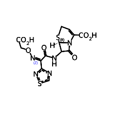 O=C(O)CO/N=C(\C(=O)NC1C(=O)N2C(C(=O)O)=CCS[C@H]12)c1ncsn1